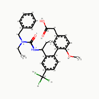 CCC(NC(=O)N(CC)Cc1ccccc1)c1cc(C(F)(F)F)ccc1-c1cc(CC(=O)O)ccc1OC